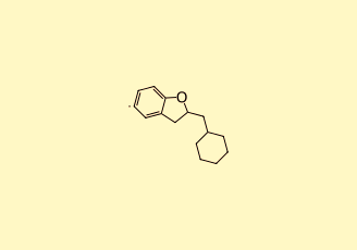 [c]1ccc2c(c1)CC(CC1CCCCC1)O2